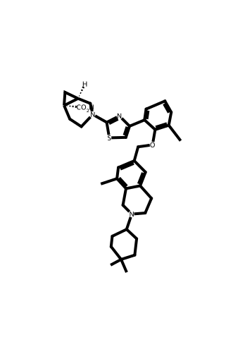 Cc1cc(COc2c(C)cccc2-c2csc(N3CC[C@@]4(C(=O)O)C[C@H]4C3)n2)cc2c1CN(C1CCC(C)(C)CC1)CC2